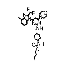 CCCCOC(=O)N[C@H]1CC[C@H](CNc2nc(N3CCOCC3)cc(-n3c(C(F)F)nc4c(C)cccc43)n2)CC1